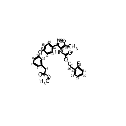 COC(=O)Cc1cccc(Oc2ccc(-c3noc(C)c3NC(=O)OCCc3ccccc3F)cc2)c1